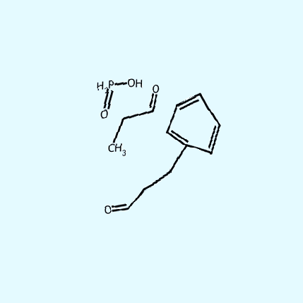 CCC=O.O=CCCc1ccccc1.O=[PH2]O